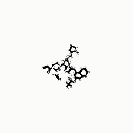 C=CC(=O)N1CCN(c2nc(OC[C@@H]3CCCN3C)nn3c(Cc4cc(OC(=O)C(C)(C)C)cc5ccccc45)cnc23)C[C@@H]1CC#N